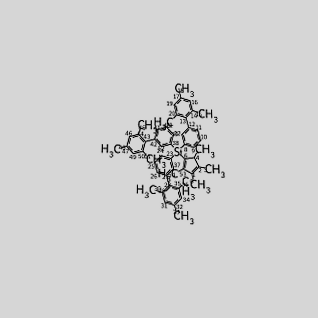 CC1=C(C)C(C)C([Si](c2cccc(-c3c(C)cc(C)cc3C)c2)(c2cccc(-c3c(C)cc(C)cc3C)c2)c2cccc(-c3c(C)cc(C)cc3C)c2)=C1C